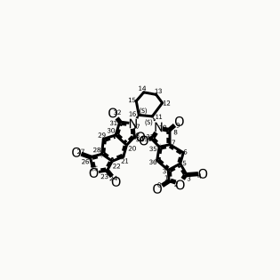 O=c1oc(=O)c2cc3c(=O)n([C@H]4CCCC[C@@H]4n4c(=O)c5cc6c(=O)oc(=O)c6cc5c4=O)c(=O)c3cc12